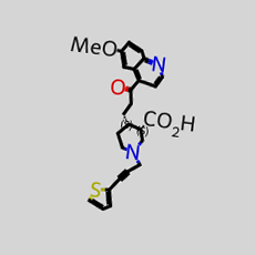 COc1ccc2nccc(C(=O)CC[C@H]3CCN(CC#Cc4cccs4)C[C@H]3C(=O)O)c2c1